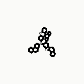 c1ccc2c(c1)Oc1ccc(N(c3ccc4c(ccc5ccccc54)c3)c3ccc4c(c3)oc3c5ccccc5ccc43)cc1C21c2ccccc2-c2ccccc21